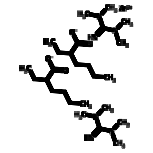 CCCCC(CC)C(=O)[O-].CCCCC(CC)C(=O)[O-].CN(C)C(=N)N(C)C.CN(C)C(=N)N(C)C.[Zn+2]